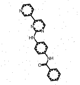 O=C(Nc1ccc(Nc2nccc(-c3cccnc3)n2)cc1)c1ccccc1